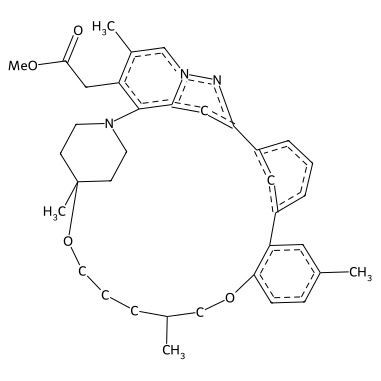 COC(=O)Cc1c(C)cn2nc3cc2c1N1CCC(C)(CC1)OCCCC(C)COc1ccc(C)cc1-c1cccc-3c1